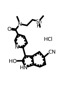 CN(C[CH2][SnH]([CH3])[CH3])C(=O)c1ccc(-c2c(O)[nH]c3ccc(C#N)cc23)nc1.Cl